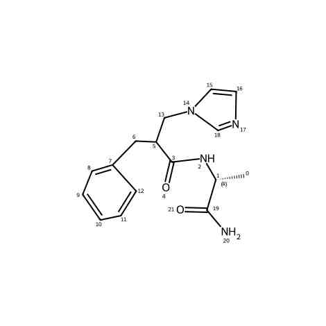 C[C@@H](NC(=O)C(Cc1ccccc1)Cn1ccnc1)C(N)=O